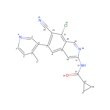 Cc1ccncc1-c1cc2cc(NC(=O)C3CC3)ncc2c(Cl)c1C#N